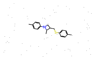 Cc1ccc(SCC2CN(c3ccc(C)cc3)C2C)cc1